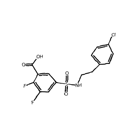 O=C(O)c1cc(S(=O)(=O)NCCc2ccc(Cl)cc2)cc(F)c1F